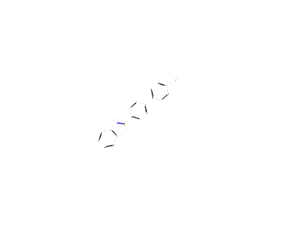 Nc1ccc(-c2ccc(-c3nc4ccc(Cl)cc4o3)cc2)cc1